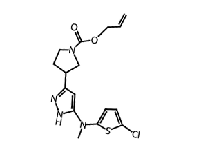 C=CCOC(=O)N1CCC(c2cc(N(C)c3ccc(Cl)s3)[nH]n2)C1